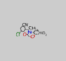 CC(c1cc(Cl)ccc1C#N)N1C(=O)COc2cc([N+](=O)[O-])ccc21